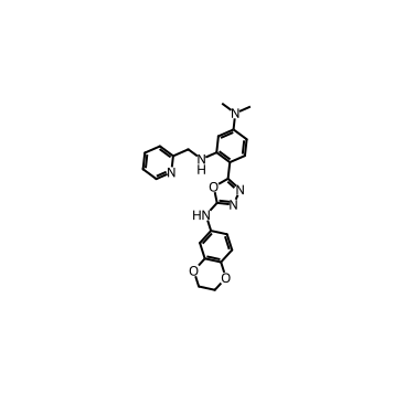 CN(C)c1ccc(-c2nnc(Nc3ccc4c(c3)OCCO4)o2)c(NCc2ccccn2)c1